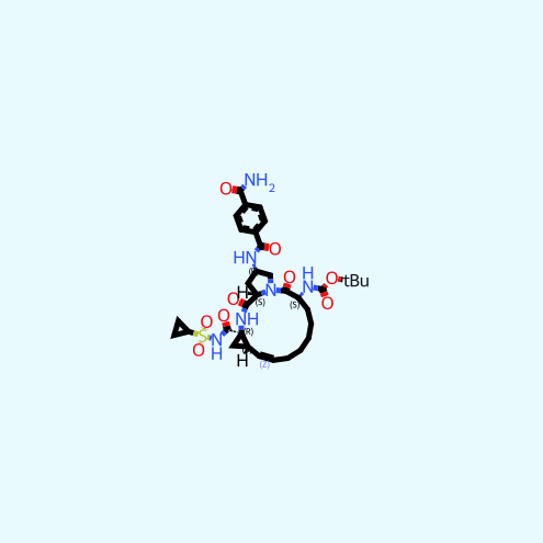 CC(C)(C)OC(=O)N[C@H]1CCCCC/C=C\[C@@H]2C[C@@]2(C(=O)NS(=O)(=O)C2CC2)NC(=O)[C@@H]2C[C@@H](NC(=O)c3ccc(C(N)=O)cc3)CN2C1=O